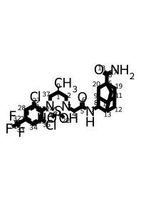 C[C@@H]1CN(CC(=O)NC2C3CC4CC2CC(C(N)=O)(C4)C3)S(O)(O)N(c2c(Cl)cc(C(F)(F)F)cc2Cl)C1